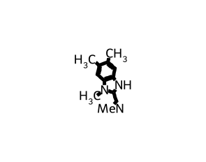 CNCC1Nc2cc(C)c(C)cc2N1C